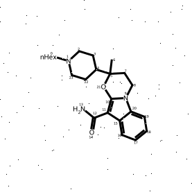 CCCCCCN1CCC(C2(C)CCn3c(c(C(N)=O)c4ccccc43)O2)CC1